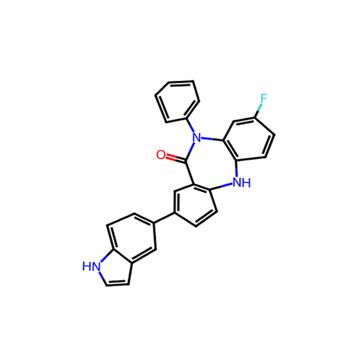 O=C1c2cc(-c3ccc4[nH]ccc4c3)ccc2Nc2ccc(F)cc2N1c1ccccc1